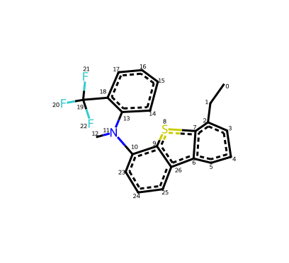 CCc1cccc2c1sc1c(N(C)c3ccccc3C(F)(F)F)cccc12